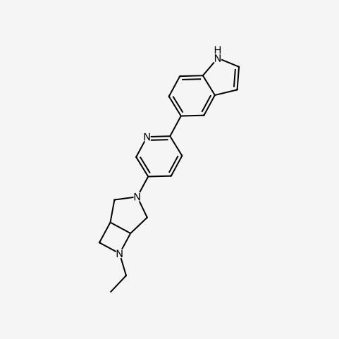 CCN1CC2CN(c3ccc(-c4ccc5[nH]ccc5c4)nc3)CC21